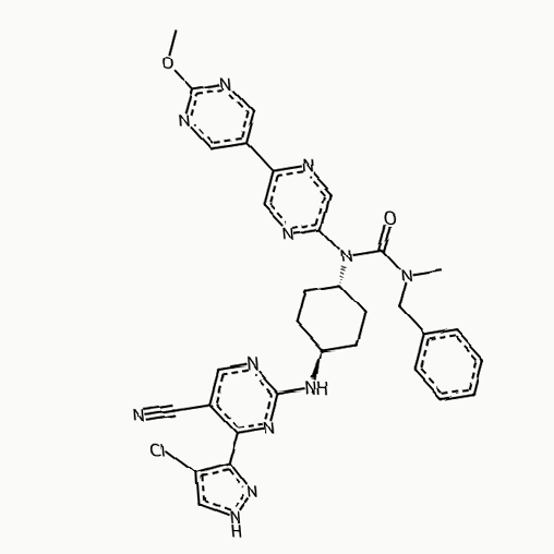 COc1ncc(-c2cnc(N(C(=O)N(C)Cc3ccccc3)[C@H]3CC[C@H](Nc4ncc(C#N)c(-c5n[nH]cc5Cl)n4)CC3)cn2)cn1